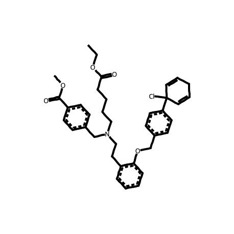 CCOC(=O)CCCCN(CCc1ccccc1OCc1ccc(C2(Cl)C=CCC=C2)cc1)Cc1ccc(C(=O)OC)cc1